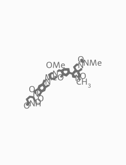 CNC(=O)N1CCc2c(-c3cc(OC)c(CN4CCC(N5Cc6cc7c(cc6C5)C(=O)N(C5CCC(=O)NC5=O)C7=O)CC4)c(OC)c3)cn(C)c(=O)c2C1